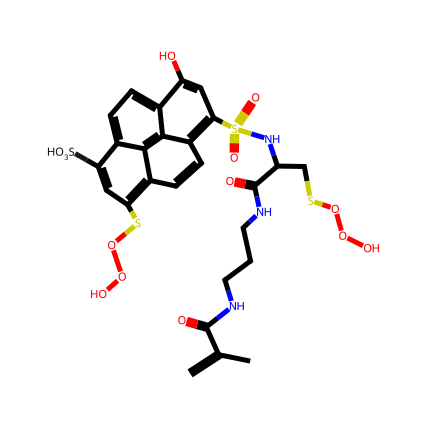 C=C(C)C(=O)NCCCNC(=O)C(CSOOO)NS(=O)(=O)c1cc(O)c2ccc3c(S(=O)(=O)O)cc(SOOO)c4ccc1c2c43